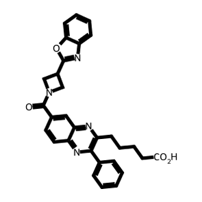 O=C(O)CCCCc1nc2cc(C(=O)N3CC(c4nc5ccccc5o4)C3)ccc2nc1-c1ccccc1